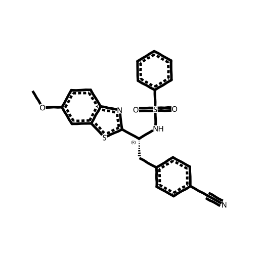 COc1ccc2nc([C@@H](Cc3ccc(C#N)cc3)NS(=O)(=O)c3ccccc3)sc2c1